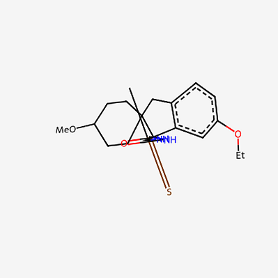 CCOc1ccc2c(c1)C1(NC(=S)NC1=O)C1(CCC(OC)CC1)C2